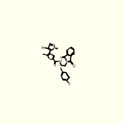 Cc1sc(C(=O)N[C@@H](Cc2ccc(F)cc2)CN2C(=O)c3ccccc3C2=O)cc1-c1c(Br)cnn1C